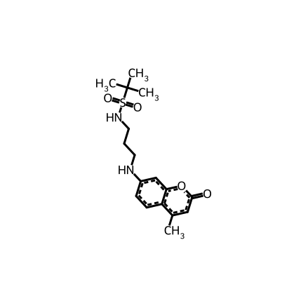 Cc1cc(=O)oc2cc(NCCCNS(=O)(=O)C(C)(C)C)ccc12